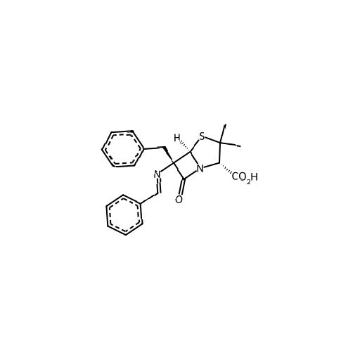 CC1(C)S[C@H]2N(C(=O)[C@]2(Cc2ccccc2)N=Cc2ccccc2)[C@H]1C(=O)O